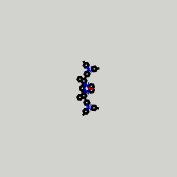 Cc1ccc(N(c2ccc(C)cc2)c2ccc(-c3cc4c(c5ccccc35)c3ccc5c6c7ccccc7c(-c7ccc(N(c8ccc(C)cc8)c8ccc(C)cc8)cc7)cc6n(-c6ccccc6)c5c3n4-c3ccccc3)cc2)cc1